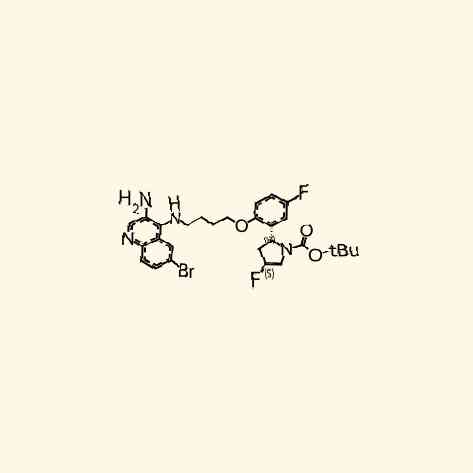 CC(C)(C)OC(=O)N1C[C@@H](F)C[C@@H]1c1cc(F)ccc1OCCCCNc1c(N)cnc2ccc(Br)cc12